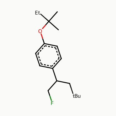 CCC(C)(C)Oc1ccc(C(CF)CC(C)(C)C)cc1